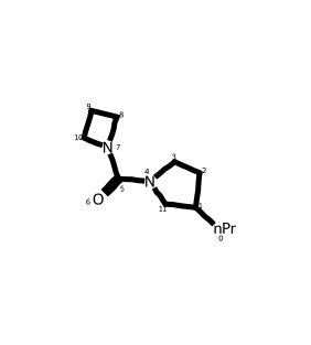 CCCC1CCN(C(=O)N2CCC2)C1